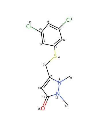 Cn1c(CSc2cc(Cl)cc(Cl)c2)cc(=O)n1C